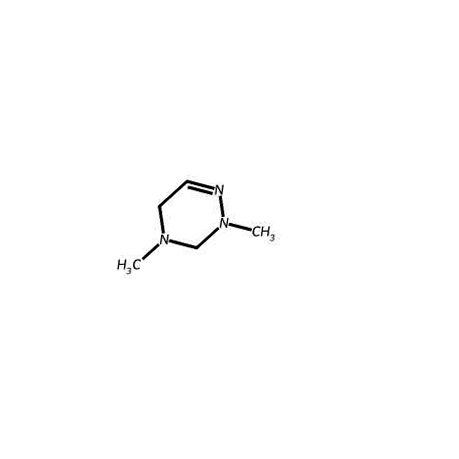 CN1CC=NN(C)C1